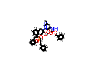 CC(C)C[C@H](NC(=O)OCc1ccccc1)C(=O)N[C@@H](Cc1ccccc1)C(=O)COP(=O)(CCc1ccccc1)CCc1ccccc1